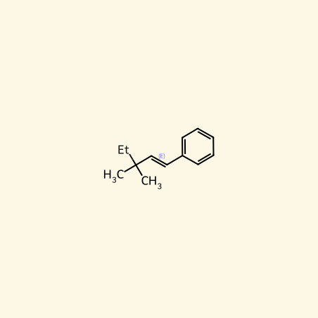 CCC(C)(C)/C=C/c1ccccc1